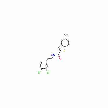 CC1CCc2sc(C(=O)NCCc3ccc(Cl)c(Cl)c3)cc2C1